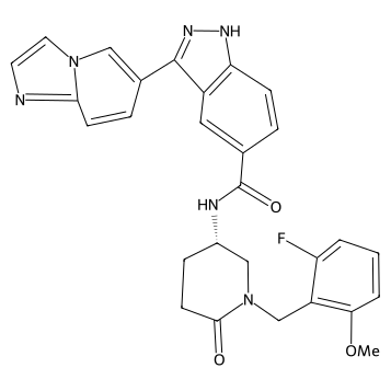 COc1cccc(F)c1CN1C[C@@H](NC(=O)c2ccc3[nH]nc(-c4ccc5nccn5c4)c3c2)CCC1=O